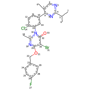 Cc1cnc(C(C)C)nc1-c1ccc(Cl)c(-n2c(C)nc(OCc3ccc(F)cc3)c(Br)c2=O)c1